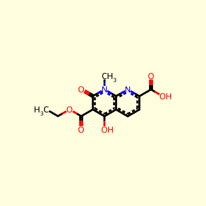 CCOC(=O)c1c(O)c2ccc(C(=O)O)nc2n(C)c1=O